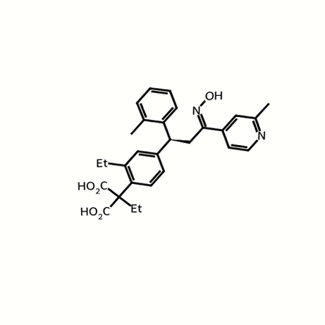 CCc1cc([C@H](CC(=NO)c2ccnc(C)c2)c2ccccc2C)ccc1C(CC)(C(=O)O)C(=O)O